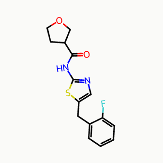 O=C(Nc1ncc(Cc2ccccc2F)s1)C1CCOC1